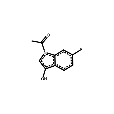 CC(=O)n1cc(O)c2ccc(F)cc21